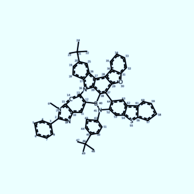 Cn1c(-c2ccccc2)nc2cc3c(cc21)-n1c2ccc(C(C)(C)C)cc2c2c4c(oc5ccccc54)c4c(c21)B3N(c1ccc(C(C)(C)C)cc1)c1cc2sc3ccccc3c2cc1-4